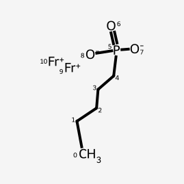 CCCCCP(=O)([O-])[O-].[Fr+].[Fr+]